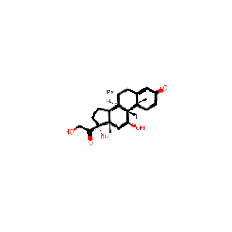 C[C@]12CCC(=O)C=C1CC[C@@H]1C3CC[C@](O)(C(=O)CO)[C@@]3(C)C[C@H](O)[C@H]12.[Pb]